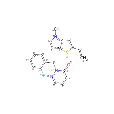 C=Cc1cc2c(ccn2C)s1.O=c1cccnn1Cc1ccccc1F